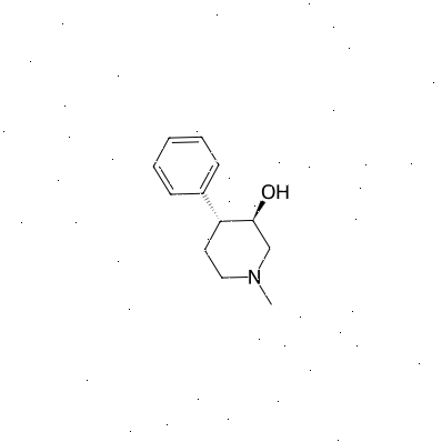 CN1CC[C@H](c2ccccc2)[C@@H](O)C1